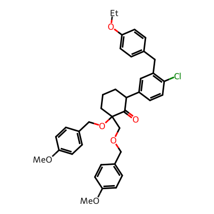 CCOc1ccc(Cc2cc(C3CCCC(COCc4ccc(OC)cc4)(OCc4ccc(OC)cc4)C3=O)ccc2Cl)cc1